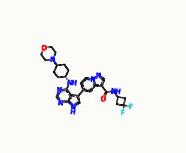 O=C(NC1CC(F)(F)C1)c1cnn2ccc(-c3c[nH]c4ncnc(N[C@H]5CC[C@H](N6CCOCC6)CC5)c34)cc12